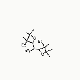 CCCC(C1OC(C)(C)C1(C)CC)C1OC(C)(C)C1(C)CC